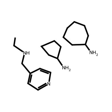 CCNCc1ccncc1.NC1CCCC1.NC1CCCCCC1